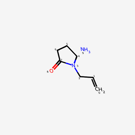 C=CCN1CCCC1=O.N